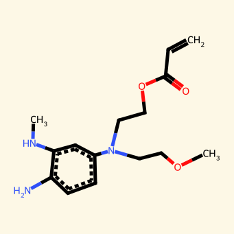 C=CC(=O)OCCN(CCOC)c1ccc(N)c(NC)c1